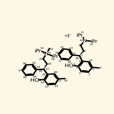 Cc1ccc(O)c([C@H](CCN(C(C)C)C(C)C)c2ccccc2)c1.Cc1ccc(O)c([C@H](CC[N+](C)(C(C)C)C(C)C)c2ccccc2)c1.[I-]